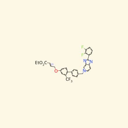 CCOC(=O)/C=C/COc1ccc(-c2ccc(Cn3ccc4nc(-c5cccc(F)c5F)nc-4c3)cc2)c(C(F)(F)F)c1